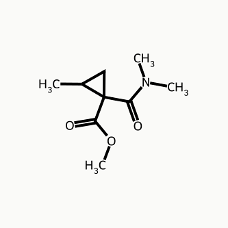 COC(=O)C1(C(=O)N(C)C)CC1C